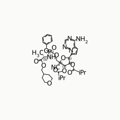 CC(C)C(=O)O[C@H]1[C@H](c2ccc3c(N)ncnn23)O[C@](C#N)(CO[P@@](=O)(N[C@@H](C)C(=O)OCC2CCOCC2)Oc2ccccc2)[C@H]1OC(=O)C(C)C